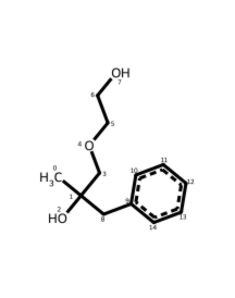 CC(O)(COCCO)Cc1ccccc1